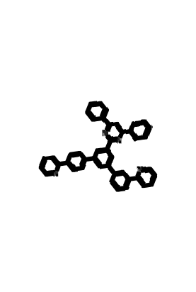 c1ccc(-c2cc(-c3ccccc3)nc(-c3cc(-c4ccc(-c5ccccn5)cc4)cc(-c4cccc(-c5ccccn5)c4)c3)n2)cc1